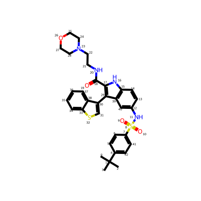 CC(C)(C)c1ccc(S(=O)(=O)Nc2ccc3[nH]c(C(=O)NCCN4CCOCC4)c(-c4csc5ccccc45)c3c2)cc1